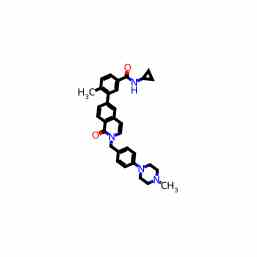 Cc1ccc(C(=O)NC2CC2)cc1-c1ccc2c(=O)n(Cc3ccc(N4CCN(C)CC4)cc3)ccc2c1